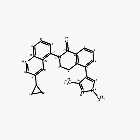 Cn1cc(-c2cccc3c2CCN(c2cccc4ncc(C5CC5)cc24)C3=O)c(C(F)(F)F)n1